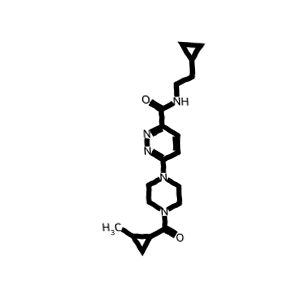 CC1CC1C(=O)N1CCN(c2ccc(C(=O)NCCC3CC3)nn2)CC1